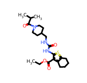 CCOC(=O)c1c(NC(=O)NCC2CCN(C(=O)C(C)C)CC2)sc2c1CCCC2